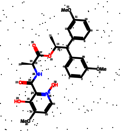 COc1cccc(C(c2cccc(OC)c2)[C@H](C)OC(=O)[C@H](C)NC(=O)c2c(O)c(OC)cc[n+]2O)c1